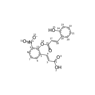 O=C(O)C=Cc1cccc([N+](=O)[O-])c1OC(=O)C=Cc1ccccc1O